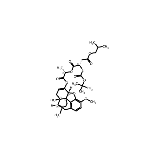 COc1ccc2c3c1O[C@H]1C(OC(=O)[C@H](C)OC(=O)[C@H](CC(=O)OCC(C)C)OC(=O)OC(C)(C)C)=CC[C@@]4(O)[C@@H](C2)N(C)CC[C@]314